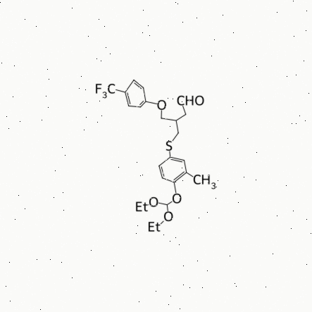 CCOC(OCC)Oc1ccc(SCC(CC=O)COc2ccc(C(F)(F)F)cc2)cc1C